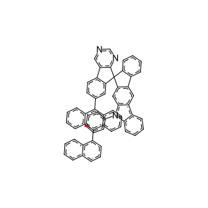 c1ccc(-n2c3ccccc3c3cc4c(cc32)C2(c3ccccc3-4)c3cc(-c4c5ccccc5c(-c5cccc6ccccc56)c5ccccc45)ccc3-c3cncnc32)cc1